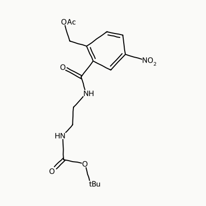 CC(=O)OCc1ccc([N+](=O)[O-])cc1C(=O)NCCNC(=O)OC(C)(C)C